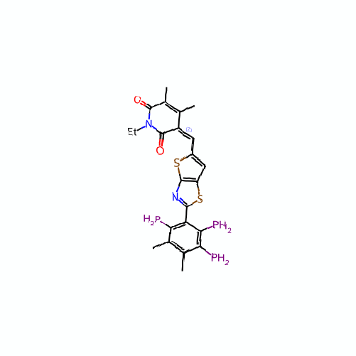 CCN1C(=O)C(C)=C(C)/C(=C/c2cc3sc(-c4c(P)c(C)c(C)c(P)c4P)nc3s2)C1=O